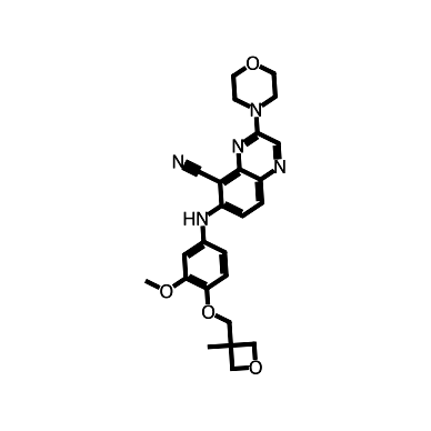 COc1cc(Nc2ccc3ncc(N4CCOCC4)nc3c2C#N)ccc1OCC1(C)COC1